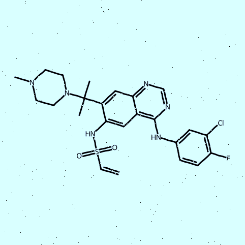 C=CS(=O)(=O)Nc1cc2c(Nc3ccc(F)c(Cl)c3)ncnc2cc1C(C)(C)N1CCN(C)CC1